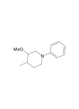 COC1CN(c2ccccc2)CCC1C